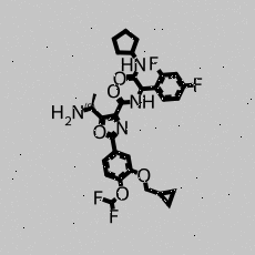 C[C@H](N)c1oc(-c2ccc(OC(F)F)c(OCC3CC3)c2)nc1C(=O)NC(C(=O)NC1CCCC1)c1ccc(F)cc1F